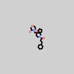 O=C1COCCN1CC1(O)CCN(C(=O)CCC2CCCCC2)CC12CCCC2